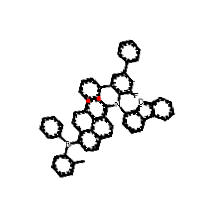 Cc1ccccc1B(c1ccccc1)c1ccc2ccc3c(N(c4c(F)cc(-c5ccccc5)cc4-c4ccccc4)c4cccc5c4oc4ccccc45)ccc4ccc1c2c43